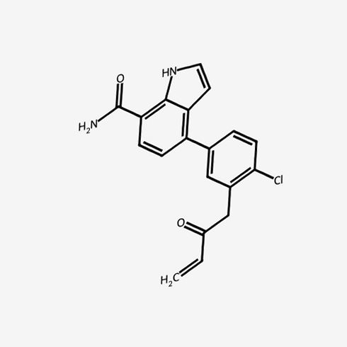 C=CC(=O)Cc1cc(-c2ccc(C(N)=O)c3[nH]ccc23)ccc1Cl